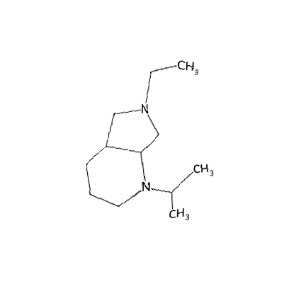 CCN1CC2CCCN(C(C)C)C2C1